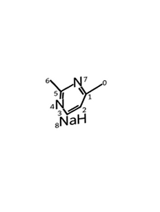 Cc1ccnc(C)n1.[NaH]